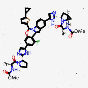 COC(=O)N[C@H](C(=O)N1CCC[C@H]1c1ncc(-c2cc(F)c3c(c2)OC(c2ccc(C4CC4)s2)n2c-3cc3cc(-c4cnc([C@@H]5C[C@H]6C[C@H]6N5C(=O)[C@@H](NC(=O)OC)C(C)C)[nH]4)ccc32)[nH]1)C(C)C